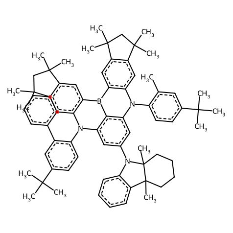 Cc1cc(C(C)(C)C)ccc1N1c2cc3c(cc2B2c4cc5c(cc4N(c4ccc(C(C)(C)C)cc4-c4ccccc4)c4cc(N6c7ccccc7C7(C)CCCCC67C)cc1c42)C(C)(C)CC5(C)C)C(C)(C)CC3(C)C